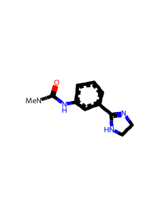 CNC(=O)Nc1cccc(C2=NCCN2)c1